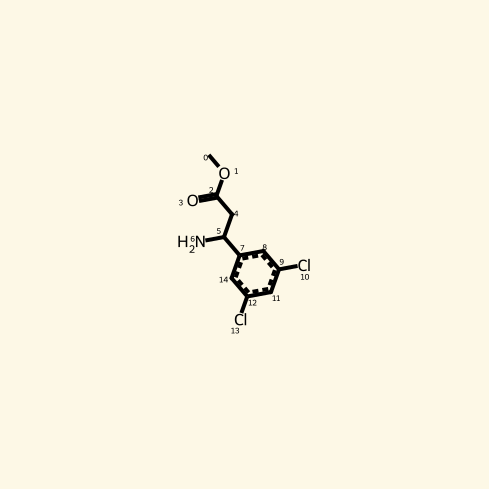 COC(=O)CC(N)c1cc(Cl)cc(Cl)c1